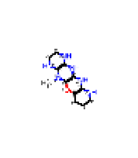 Cn1c2c([nH]c3[nH]c4c(oc1=3)CCCN4)NCCN2